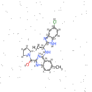 Cc1ccc2nc(C(=O)N3CC=CC3)nc(N[C@@H](C)c3nc4cc(Cl)ccc4[nH]3)c2c1